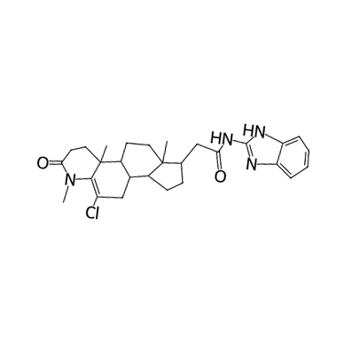 CN1C(=O)CCC2(C)C1=C(Cl)CC1C2CCC2(C)C(CC(=O)Nc3nc4ccccc4[nH]3)CCC12